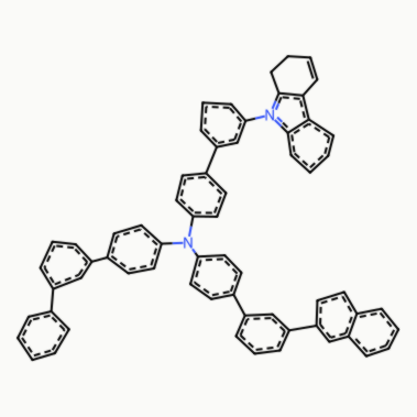 C1=Cc2c(n(-c3cccc(-c4ccc(N(c5ccc(-c6cccc(-c7ccccc7)c6)cc5)c5ccc(-c6cccc(-c7ccc8ccccc8c7)c6)cc5)cc4)c3)c3ccccc23)CC1